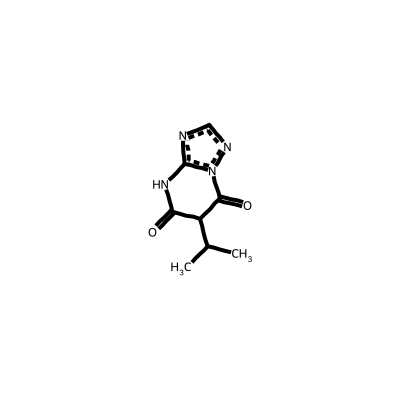 CC(C)C1C(=O)Nc2ncnn2C1=O